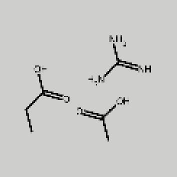 CC(=O)O.CCC(=O)O.N=C(N)N